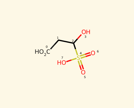 O=C(O)CC(O)S(=O)(=O)O